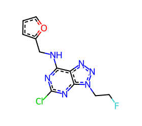 FCCn1nnc2c(NCc3ccco3)nc(Cl)nc21